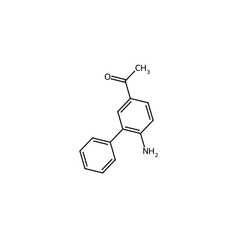 CC(=O)c1ccc(N)c(-c2ccccc2)c1